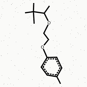 Cc1ccc(OCCOC(C)C(C)(C)C)cc1